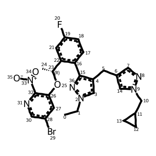 CCn1cc(Cc2cnn(CC3CC3)c2)c(-c2ccc(F)cc2[C@@H](C)Oc2cc(Br)cnc2[N+](=O)[O-])n1